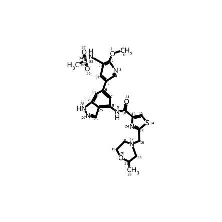 COc1ncc(-c2cc(NC(=O)c3csc(CN4CCOC(C)C4)n3)c3cn[nH]c3c2)cc1NS(C)(=O)=O